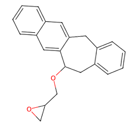 c1ccc2c(c1)Cc1cc3ccccc3cc1C(OCC1CO1)C2